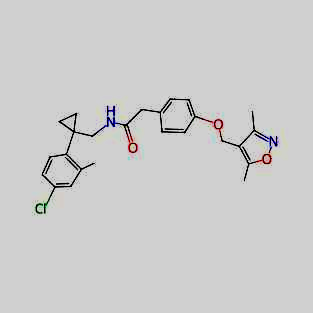 Cc1cc(Cl)ccc1C1(CNC(=O)Cc2ccc(OCc3c(C)noc3C)cc2)CC1